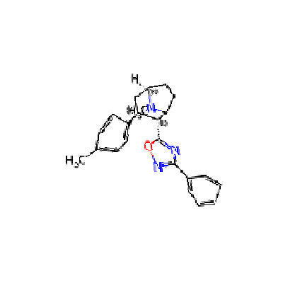 Cc1ccc([C@H]2C[C@H]3CCC([C@@H]2c2nc(-c4ccccc4)no2)N3C)cc1